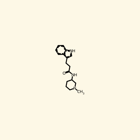 CN1CCCC(NC(=O)CCc2c[nH]c3ccccc23)C1